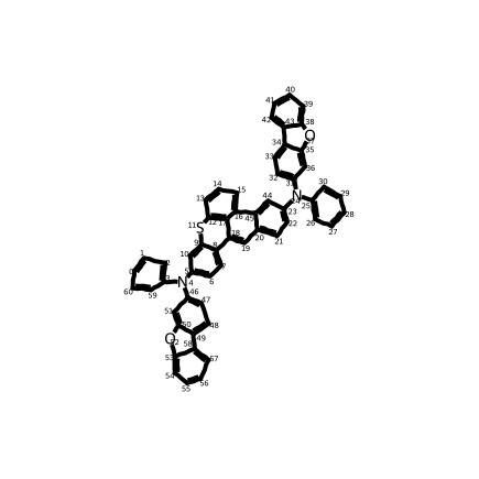 c1ccc(N(c2ccc3c(c2)Sc2cccc4c2c-3cc2ccc(N(c3ccccc3)c3ccc5c(c3)oc3ccccc35)cc24)c2ccc3c(c2)oc2ccccc23)cc1